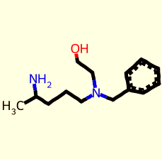 CC(N)CCCN(CCO)Cc1ccccc1